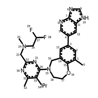 Cc1cc(-c2cnc3nc[nH]c3c2)cc2c1OCCN(c1nc(CN(C)CC(F)F)nc(C)c1C(C)C)C2